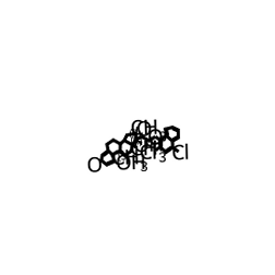 C[C@@H]1CC2C3CCC4=CC(=O)C=CC4(C)C3[C@@H](O)CC2(C)[C@@]1(O)C(=O)COc1c(Cl)cc(Cl)c2ccccc12